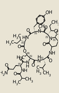 CCC(C)[C@@H]1NC(=O)[C@H](Cc2ccc(O)cc2)N(C)C(=O)[C@H](C(C)CC)N2C(=O)C(CC[C@@H]2O)NC(=O)[C@H](CC(C)C)NC(=O)[C@@H](NC(=O)[C@H](CCC(N)=O)NC(=O)C(C)C)[C@@H](C)OC1=O